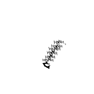 NNNNNNNNNNNNC1CCCS1